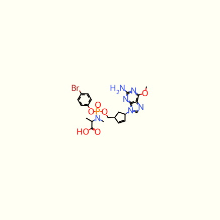 COc1nc(N)nc2c1ncn2[C@H]1C=C[C@@H](COP(=O)(Oc2ccc(Br)cc2)N(C)C(C)C(=O)O)C1